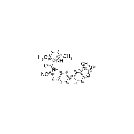 C[C@@H]1CC[C@H](C)N[C@@H]1C(=O)N[C@H](C#N)Cc1ccc(-c2ccc3oc(=O)n(C)c3c2)cc1